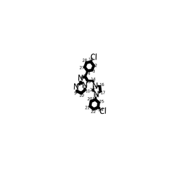 Clc1ccc(-c2nc3ncccn3c2CN2C=CN(c3cccc(Cl)c3)C2)cc1